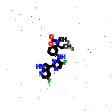 CC[C@@H]1N(C)C(=O)O[C@]12CCC[C@H](Nc1nc(-c3c[nH]c4ncc(F)cc34)ncc1F)C2